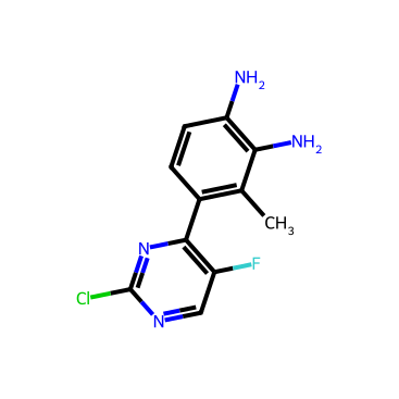 Cc1c(-c2nc(Cl)ncc2F)ccc(N)c1N